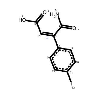 NC(=O)/C(=C\C(=O)O)c1ccc(I)cc1